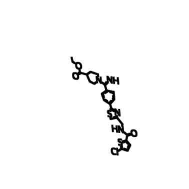 CCOC(=O)C1CCN(C(=N)c2ccc(-c3nc(CNC(=O)c4ccc(Cl)s4)cs3)cc2)CC1